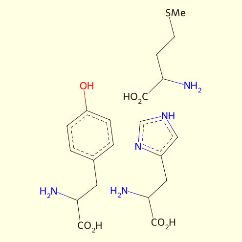 CSCCC(N)C(=O)O.NC(Cc1c[nH]cn1)C(=O)O.NC(Cc1ccc(O)cc1)C(=O)O